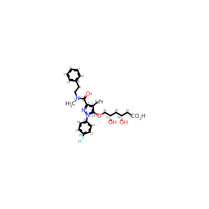 CC(C)c1c(C(=O)N(C)CCc2ccccc2)nn(-c2ccc(F)cc2)c1OC[C@@H](O)C[C@@H](O)CC(=O)O